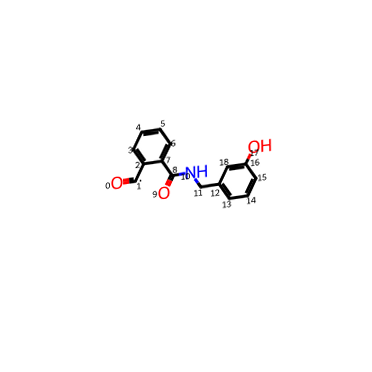 O=[C]c1ccccc1C(=O)NCc1cccc(O)c1